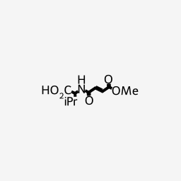 COC(=O)/C=C/C(=O)NC(C(=O)O)C(C)C